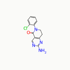 Nc1ncc2c(n1)CCN(c1ccccc1Cl)C2=O